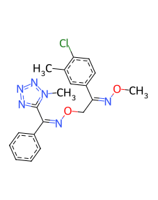 CO/N=C(/CO/N=C(/c1ccccc1)c1nnnn1C)c1ccc(Cl)c(C)c1